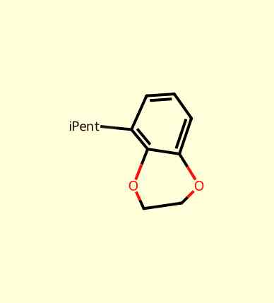 CCCC(C)c1cccc2c1OCCO2